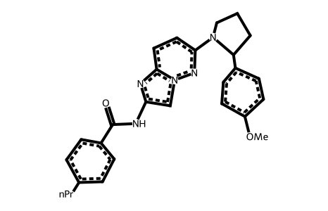 CCCc1ccc(C(=O)Nc2cn3nc(N4CCCC4c4ccc(OC)cc4)ccc3n2)cc1